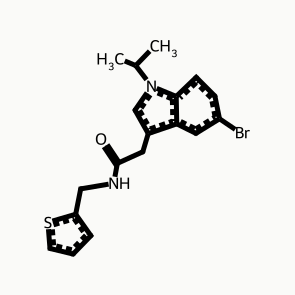 CC(C)n1cc(CC(=O)NCc2cccs2)c2cc(Br)ccc21